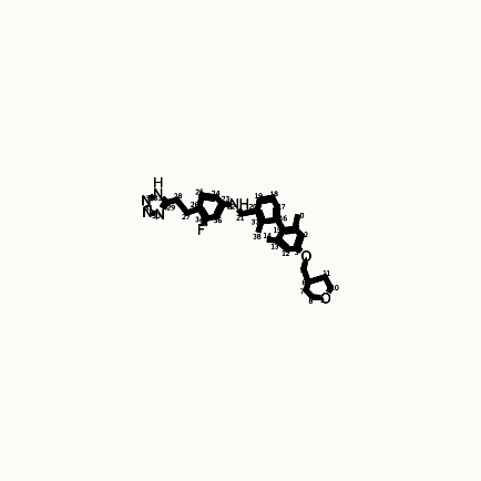 Cc1cc(OCC2CCOCC2)cc(C)c1-c1cccc(CNc2ccc(CCc3nnn[nH]3)c(F)c2)c1C